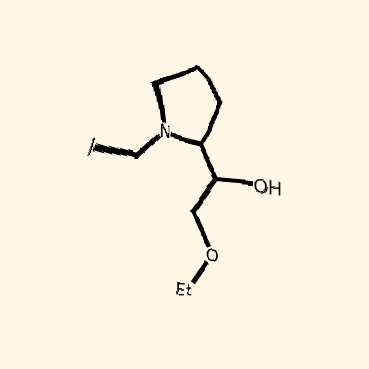 CCOCC(O)C1CCCN1CI